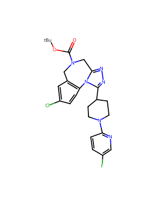 CC(C)(C)OC(=O)N1Cc2cc(Cl)ccc2-n2c(nnc2C2CCN(c3ccc(F)cn3)CC2)C1